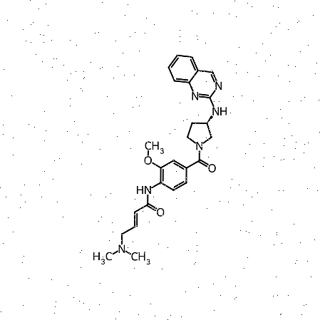 COc1cc(C(=O)N2CC[C@@H](Nc3ncc4ccccc4n3)C2)ccc1NC(=O)/C=C/CN(C)C